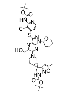 Cc1cc(C2(CNC(=O)OC(C)(C)C)C3CCN(c4nc5c(nc4CO)c(Sc4ccnc(NC(=O)OC(C)(C)C)c4Cl)nn5C4CCCCO4)CC32)no1